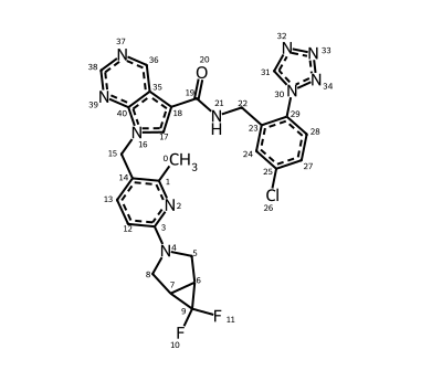 Cc1nc(N2CC3C(C2)C3(F)F)ccc1Cn1cc(C(=O)NCc2cc(Cl)ccc2-n2cnnn2)c2cncnc21